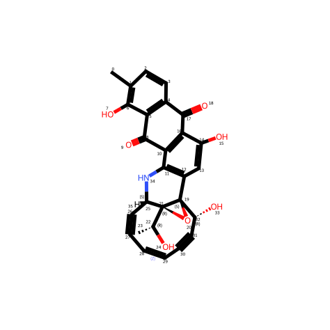 Cc1ccc2c(c1O)C(=O)c1c3c(cc(O)c1C2=O)[C@@]12O[C@@]1([C@@H](C)O)[C@H](C#C/C=C\C#C[C@H]2O)N3